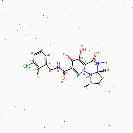 C[C@@H]1CC[C@H]2N(C)C(=O)c3c(O)c(=O)c(C(=O)NCc4cccc(Cl)c4F)cn3N12